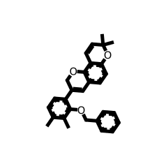 Cc1ccc(C2=Cc3ccc4c(c3OC2)C=CC(C)(C)O4)c(OCc2ccccc2)c1C